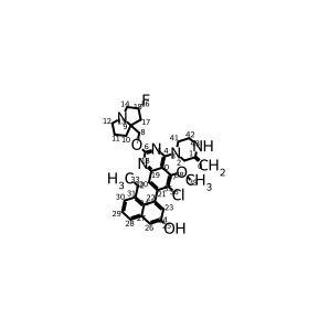 C=C1CN(c2nc(OCC34CCCN3C[C@H](F)C4)nc3cc(-c4cc(O)cc5cccc(CC)c45)c(Cl)c(OC)c23)CCN1